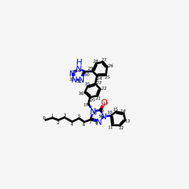 CCCCCCCc1nn(-c2ccccc2)c(=O)n1Cc1ccc(-c2ccccc2-c2nnn[nH]2)cc1